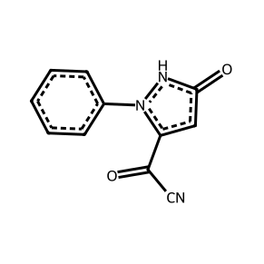 N#CC(=O)c1cc(=O)[nH]n1-c1ccccc1